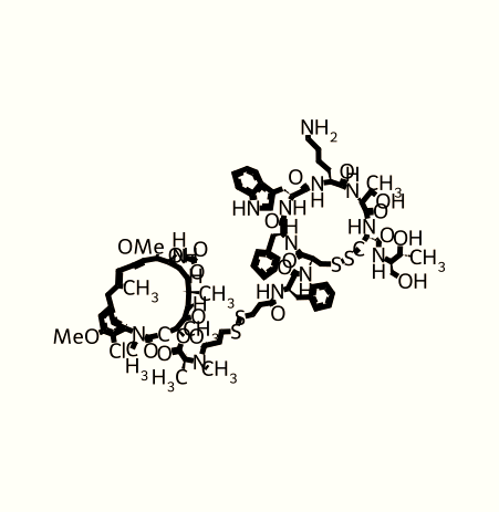 COc1cc2cc(c1Cl)N(C)C(=O)C[C@H](OC(=O)[C@H](C)N(C)C(=O)CCSSCCC(=O)N[C@H](Cc1ccccc1)C(=O)N[C@H]1CSSC[C@@H](C(=O)N[C@H](CO)[C@@H](C)O)NC(=O)[C@H]([C@@H](C)O)NC(=O)[C@H](CCCCN)NC(=O)[C@@H](Cc3c[nH]c4ccccc34)NC(=O)[C@H](Cc3ccccc3)NC1=O)[C@]1(C)O[C@H]1[C@H](C)[C@@H]1C[C@@](O)(NC(=O)O1)[C@H](OC)/C=C/C=C(\C)C2